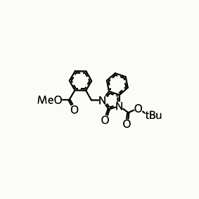 COC(=O)c1ccccc1Cn1c(=O)n(C(=O)OC(C)(C)C)c2ccccc21